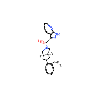 OC(c1n[nH]c2ncccc12)N1C[C@H]2C[C@@H](c3ccccc3C(F)(F)F)C[C@H]2C1